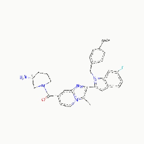 COc1ccc(Cn2c(-c3nc4cc(C(=O)N5CCC[C@@H](N)C5)ccn4c3C)cc3ccc(F)cc32)cc1